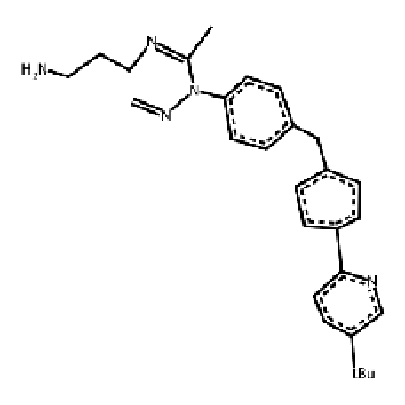 C=NN(/C(C)=N\CCCN)c1ccc(Cc2ccc(-c3ccc(C(C)(C)C)cn3)cc2)cc1